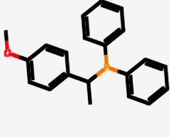 COc1ccc(C(C)P(c2ccccc2)c2ccccc2)cc1